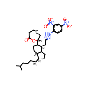 CC(C)CCC[C@@H](C)[C@H]1CCC2[C@H](C/C=N/Nc3ccc([N+](=O)[O-])cc3[N+](=O)[O-])C([C@@]3(C)CCCCC(=O)O3)CC[C@@]21C